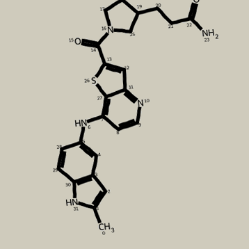 Cc1cc2cc(Nc3ccnc4cc(C(=O)N5CCC(CCC(N)=O)C5)sc34)ccc2[nH]1